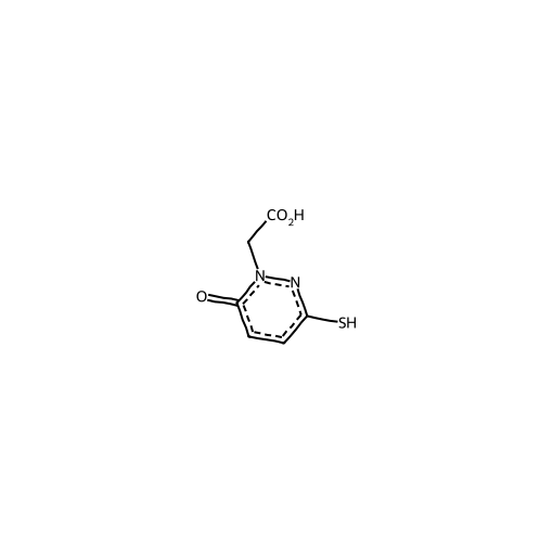 O=C(O)Cn1nc(S)ccc1=O